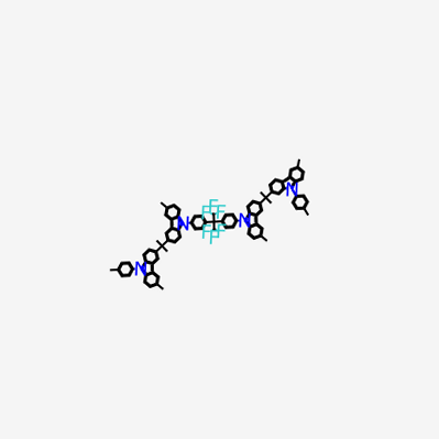 Cc1ccc(-n2c3ccc(C)cc3c3cc(C(C)(C)c4ccc5c(c4)c4cc(C)ccc4n5-c4ccc(C(c5ccc(-n6c7ccc(C)cc7c7cc(C(C)(C)c8ccc9c%10cc(C)ccc%10n(-c%10ccc(C)cc%10)c9c8)ccc76)cc5)(C(F)(F)F)C(F)(F)F)cc4)ccc32)cc1